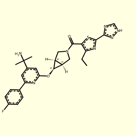 CCc1nc(-c2nc[nH]n2)sc1C(=O)N1C[C@@H]2[C@H](C1)[C@@H]2Oc1cc(C(C)(C)N)cc(-c2ccc(F)cc2)n1